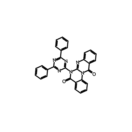 O=c1c2ccccc2n2c(=O)c3ccccc3nc2n1-c1nc(-c2ccccc2)nc(-c2ccccc2)n1